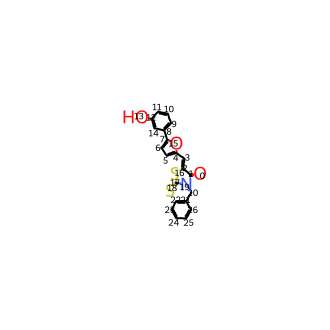 O=C1C(=Cc2ccc(-c3cccc(O)c3)o2)SC(=S)N1Cc1ccccc1